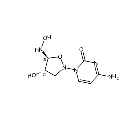 Nc1ccn(N2C[C@H](O)[C@@H](NO)O2)c(=O)n1